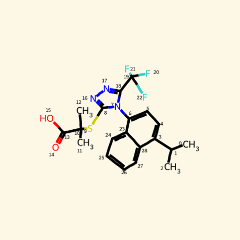 CC(C)c1ccc(-n2c(SC(C)(C)C(=O)O)nnc2C(F)(F)F)c2ccccc12